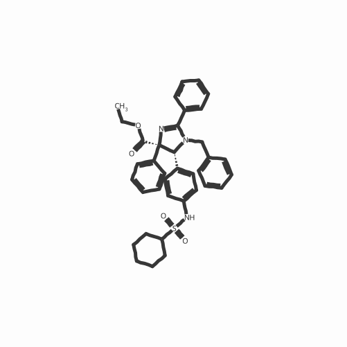 CCOC(=O)[C@]1(c2ccccc2)N=C(c2ccccc2)N(Cc2ccccc2)[C@@H]1c1ccc(NS(=O)(=O)C2CCCCC2)cc1